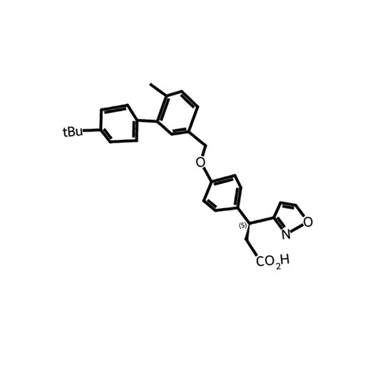 Cc1ccc(COc2ccc([C@H](CC(=O)O)c3ccon3)cc2)cc1-c1ccc(C(C)(C)C)cc1